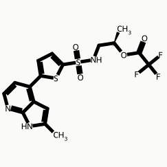 Cc1cc2c(-c3ccc(S(=O)(=O)NC[C@@H](C)OC(=O)C(F)(F)F)s3)ccnc2[nH]1